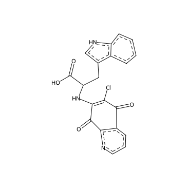 O=C1C(Cl)=C(NC(Cc2c[nH]c3ccccc23)C(=O)O)C(=O)c2ncccc21